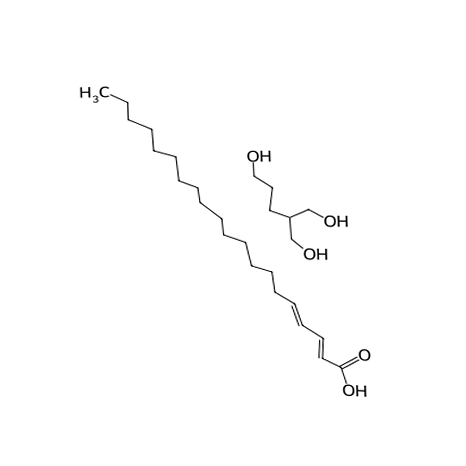 CCCCCCCCCCCCCCCC=CC=CC(=O)O.OCCCC(CO)CO